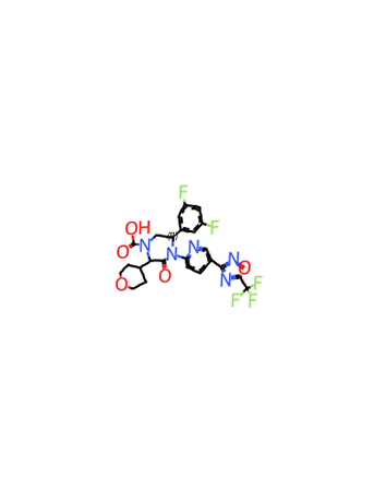 O=C(O)N1C[C@@H](c2cc(F)cc(F)c2)N(c2ccc(-c3noc(C(F)(F)F)n3)cn2)C(=O)C1C1CCOCC1